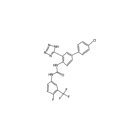 O=C(Nc1ccc(F)c(C(F)(F)F)c1)Nc1ccc(-c2ccc(Cl)cc2)cc1-c1nnn[nH]1